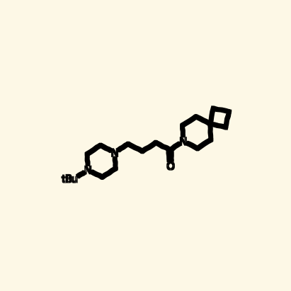 CC(C)(C)N1CCN(CCCC(=O)N2CCC3(CCC3)CC2)CC1